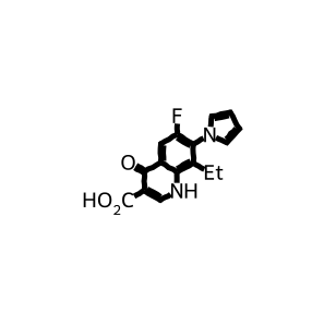 CCc1c(-n2cccc2)c(F)cc2c(=O)c(C(=O)O)c[nH]c12